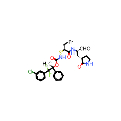 CC(C)C[C@H](SNC(=O)OC(C)(c1ccccc1)C(F)(F)c1cccc(Cl)c1)C(=O)N[C@H](C=O)C[C@@H]1CCNC1=O